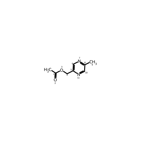 CC(=O)OCc1cnc(C)cn1